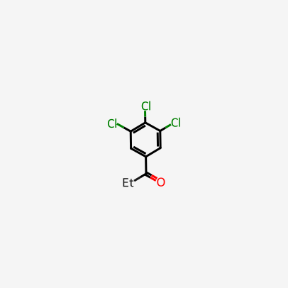 CCC(=O)c1cc(Cl)c(Cl)c(Cl)c1